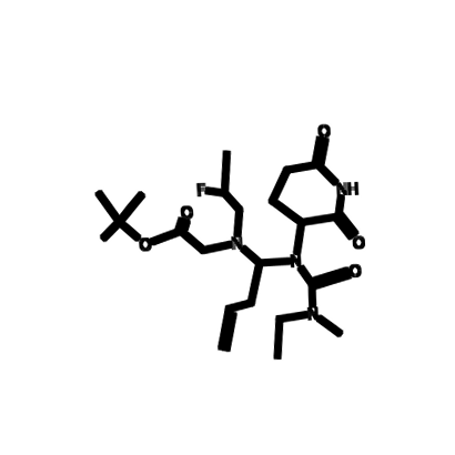 C=CCC(N(CC(=O)OC(C)(C)C)CC(C)F)N(C(=O)N(C)CC)C1CCC(=O)NC1=O